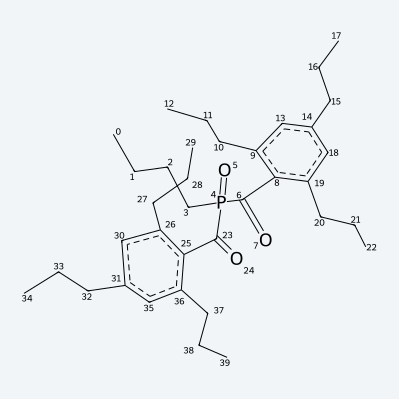 CCCCP(=O)(C(=O)c1c(CCC)cc(CCC)cc1CCC)C(=O)c1c(CCC)cc(CCC)cc1CCC